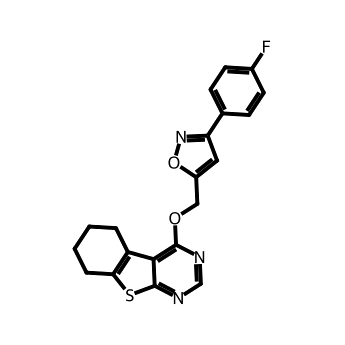 Fc1ccc(-c2cc(COc3ncnc4sc5c(c34)CCCC5)on2)cc1